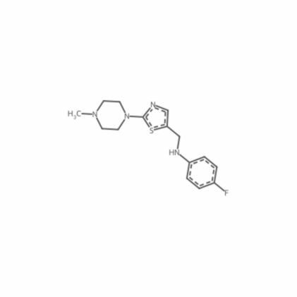 CN1CCN(c2ncc(CNc3ccc(F)cc3)s2)CC1